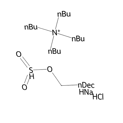 CCCCCCCCCCCO[SH](=O)=O.CCCC[N+](CCCC)(CCCC)CCCC.Cl.[NaH]